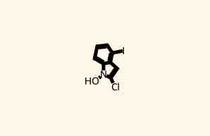 On1c(Cl)cc2c(I)cccc21